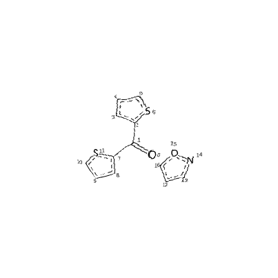 O=C(c1cccs1)c1cccs1.c1cnoc1